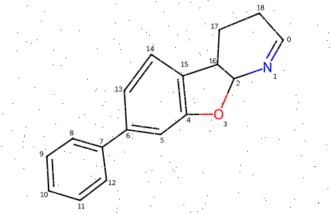 C1=NC2Oc3cc(-c4ccccc4)ccc3C2CC1